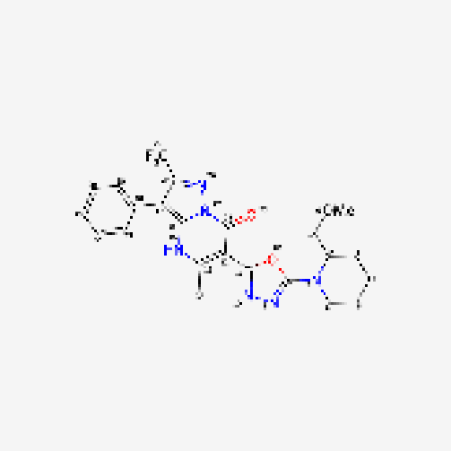 COCC1CCCCN1c1nnc(-c2c(C)[nH]c3c(-c4ccccc4)c(C(F)(F)F)nn3c2=O)o1